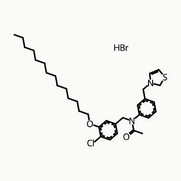 Br.CCCCCCCCCCCCCCOc1cc(CN(C(C)=O)c2cccc(CN3C=CSC3)c2)ccc1Cl